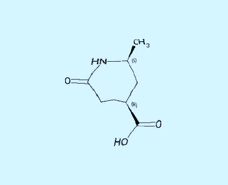 C[C@H]1C[C@@H](C(=O)O)CC(=O)N1